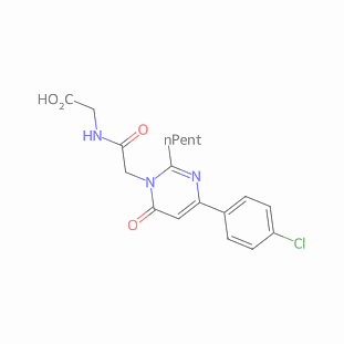 CCCCCc1nc(-c2ccc(Cl)cc2)cc(=O)n1CC(=O)NCC(=O)O